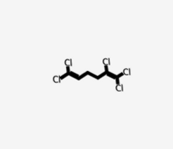 ClC(Cl)=CCCC(Cl)=C(Cl)Cl